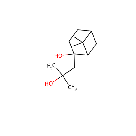 CC1(C)C2CCC(O)(CC(O)(C(F)(F)F)C(F)(F)F)C1C2